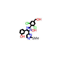 CSc1nccc(-c2c(-c3cccc(O)c3)nc(-c3c(Cl)cc(CO)cc3Cl)n2O)n1